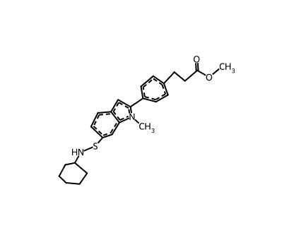 COC(=O)CCc1ccc(-c2cc3ccc(SNC4CCCCC4)cc3n2C)cc1